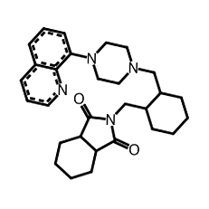 O=C1C2CCCCC2C(=O)N1CC1CCCCC1CN1CCN(c2cccc3cccnc23)CC1